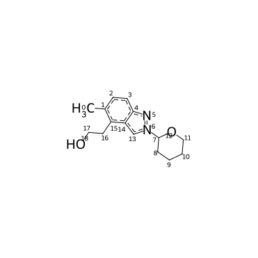 Cc1ccc2nn(C3CCCCO3)cc2c1CCO